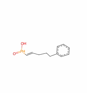 O=[PH](O)C=CCCCc1ccccc1